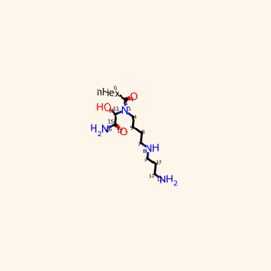 CCCCCCC(=O)N(CCCCNCCCN)C(O)C(N)=O